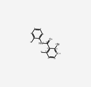 Cc1ccccc1NC(=O)c1c(C)ccnc1Br